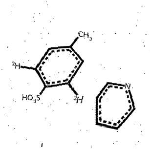 [2H]c1cc(C)cc([2H])c1S(=O)(=O)O.c1ccncc1